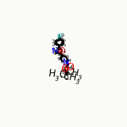 CC(C)(C)OC(=O)N1CCC(c2cnc(-c3ccc(F)cc3)o2)CC1